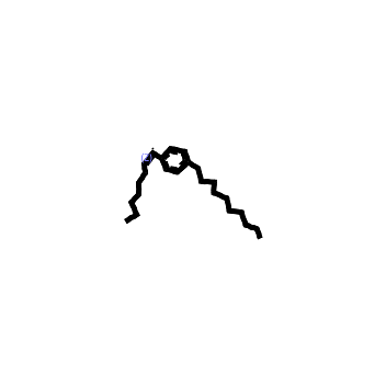 CCCCCC/C=[C]\c1ccc(CCCCCCCCCC)cc1